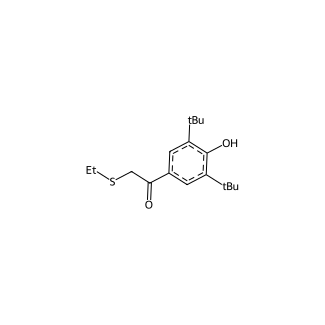 CCSCC(=O)c1cc(C(C)(C)C)c(O)c(C(C)(C)C)c1